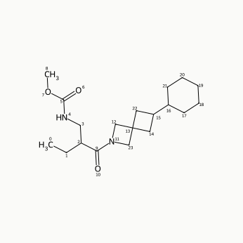 CCC(CNC(=O)OC)C(=O)N1CC2(CC(C3CCCCC3)C2)C1